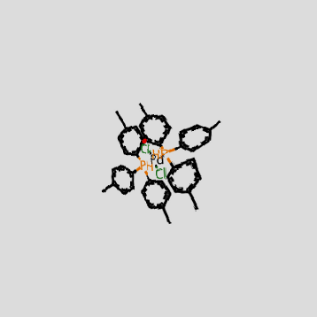 Cc1ccc([PH](c2ccc(C)cc2)(c2ccc(C)cc2)[Pd]([Cl])([Cl])[PH](c2ccc(C)cc2)(c2ccc(C)cc2)c2ccc(C)cc2)cc1